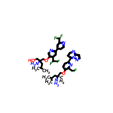 CC(C)CC(N)(CO)COc1cnc(-c2ccnc(C(F)F)c2)cc1C(F)F.CC(C)C[C@](C)(N)COc1ccc(-c2ccnc3ccnn23)nc1CF